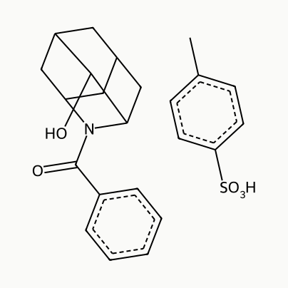 Cc1ccc(S(=O)(=O)O)cc1.O=C(c1ccccc1)N1C2CC3CC(C2)C(O)C1C3